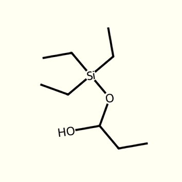 CCC(O)O[Si](CC)(CC)CC